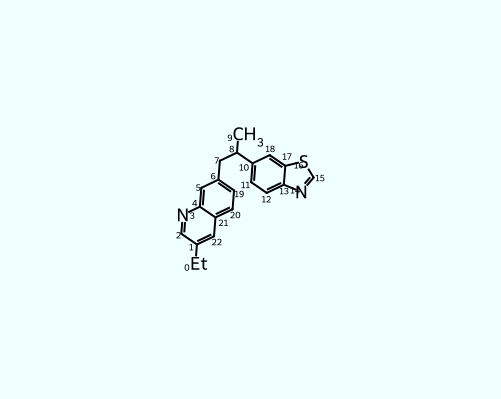 CCc1cnc2cc(CC(C)c3ccc4ncsc4c3)ccc2c1